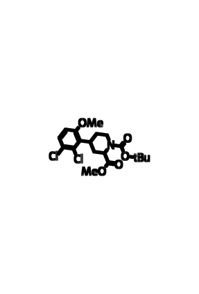 COC(=O)C1CC(c2c(OC)ccc(Cl)c2Cl)CCN1C(=O)OC(C)(C)C